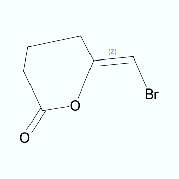 O=C1CCC/C(=C/Br)O1